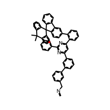 C=NCc1cccc(-c2cccc(-c3cc(-c4ccccc4-c4ccc5c(c4)-c4ccccc4C54c5ccccc5C(C)(C)c5ccccc54)nc(-c4ccccc4)n3)c2)c1